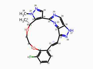 C[C@H]1OCCOc2c(F)cccc2/C=C/c2n[nH]c3cnc(nc23)-c2cnn(C)c21